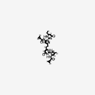 CCc1cc(=O)nc(-n2nc(CCc3cc(=O)nc(-n4nc(C)cc4NC(=O)C4CC4)[nH]3)cc2NC(=O)C2CC2)[nH]1